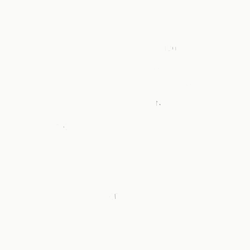 CC(C)(C)OC(=O)N1CCC(Cc2cc(C(F)(F)F)ccc2C(F)(F)F)CC1